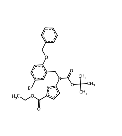 CCOC(=O)c1ccc(N(Cc2cc(Br)ccc2OCc2ccccc2)C(=O)OC(C)(C)C)s1